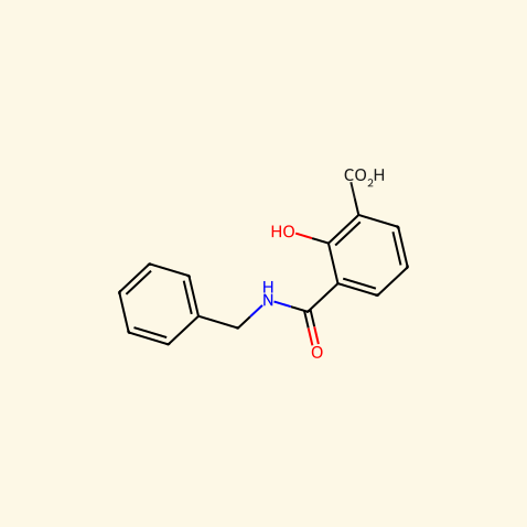 O=C(O)c1cccc(C(=O)NCc2ccccc2)c1O